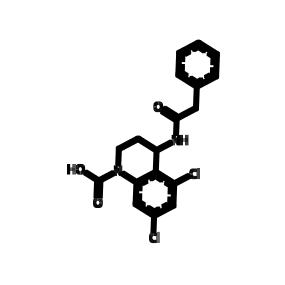 O=C(Cc1ccccc1)NC1CCN(C(=O)O)c2cc(Cl)cc(Cl)c21